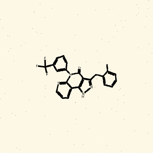 Cc1ccccc1Cc1n[nH]c2c1c(=O)n(-c1cccc(C(F)(F)F)c1)c1ncccc21